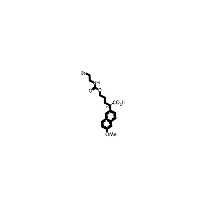 COc1ccc2cc([C@H](CCCOC(=O)NCCBr)C(=O)O)ccc2c1